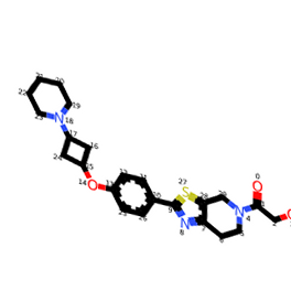 O=C(CO)N1CCc2nc(-c3ccc(OC4CC(N5CCCCC5)C4)cc3)sc2C1